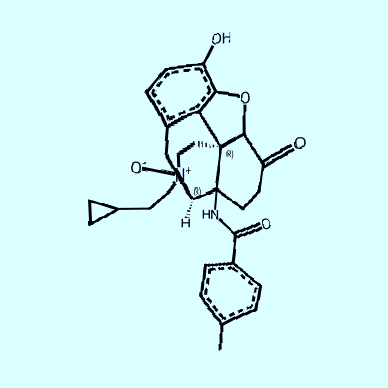 Cc1ccc(C(=O)NC23CCC(=O)C4Oc5c(O)ccc6c5[C@@]42CC[N+]([O-])(CC2CC2)[C@@H]3C6)cc1